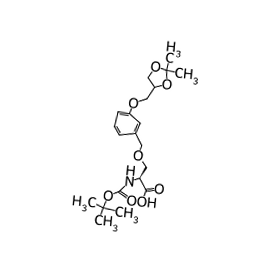 CC(C)(C)OC(=O)N[C@@H](COCc1cccc(OCC2COC(C)(C)O2)c1)C(=O)O